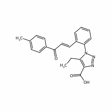 CCc1c(C(=O)O)nnn1-c1ccccc1C=CC(=O)c1ccc(C)cc1